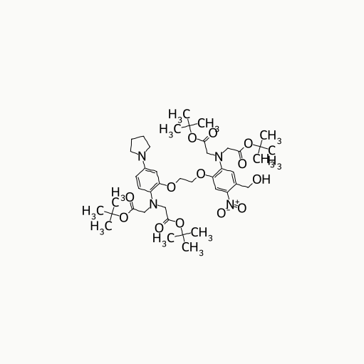 CC(C)(C)OC(=O)CN(CC(=O)OC(C)(C)C)c1ccc(N2CCCC2)cc1OCCOc1cc([N+](=O)[O-])c(CO)cc1N(CC(=O)OC(C)(C)C)CC(=O)OC(C)(C)C